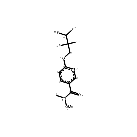 CON(C)C(=O)c1ccc(OCC(F)(F)C(F)F)nc1